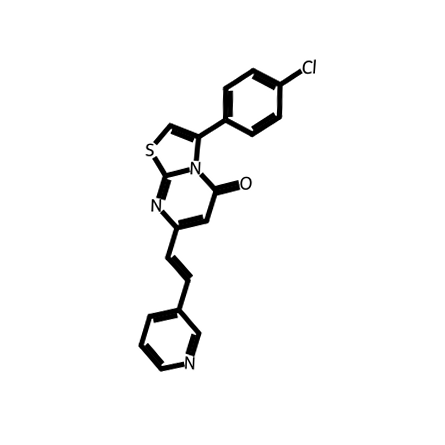 O=c1cc(/C=C/c2cccnc2)nc2scc(-c3ccc(Cl)cc3)n12